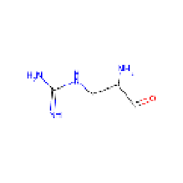 N=C(N)NCC(N)[C]=O